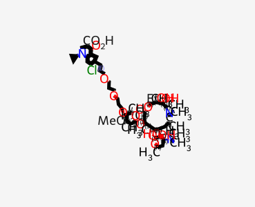 CC[C@H]1OC(=O)[C@H](C)[C@@H](O[C@H]2C[C@@](C)(OC)[C@@H](OCCCOCCCOC/C=C/c3cc4c(=O)c(C(=O)O)cn(C5CC5)c4cc3Cl)[C@H](C)O2)[C@H](C)[C@@H](O[C@@H]2O[C@H](C)C[C@H](N(C)C)[C@H]2O)[C@](C)(O)C[C@@H](C)CN(C)[C@H](C)[C@@H](O)[C@]1(C)O